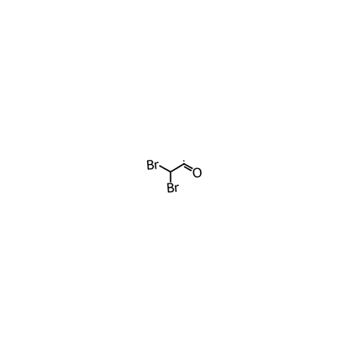 O=[C]C(Br)Br